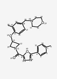 Cc1ccc(-c2nnc(C(=O)N3CC(Oc4ccc(CN5CCOCC5)cc4C)C3)o2)cc1